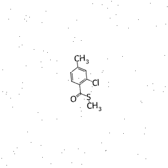 CSC(=O)c1ccc(C)cc1Cl